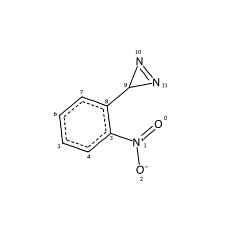 O=[N+]([O-])c1ccccc1C1N=N1